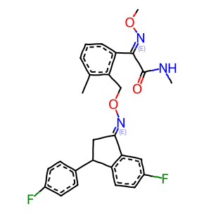 CNC(=O)/C(=N/OC)c1cccc(C)c1CO/N=C1\CC(c2ccc(F)cc2)c2ccc(F)cc21